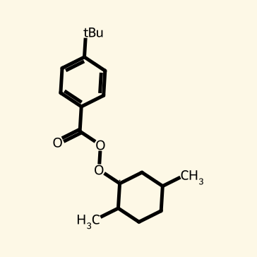 CC1CCC(C)[C](OOC(=O)c2ccc(C(C)(C)C)cc2)C1